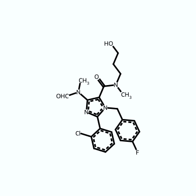 CN(CCCO)C(=O)c1c(N(C)C=O)nc(-c2ccccc2Cl)n1Cc1ccc(F)cc1